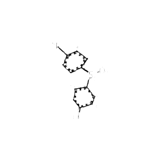 [O-][S+](c1ccc(I)cc1)c1ccc(I)cc1